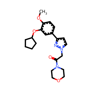 COc1ccc(-c2ccn(CC(=O)N3CCOCC3)n2)cc1OC1CCCC1